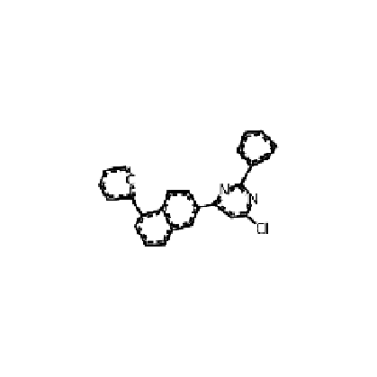 Clc1cc(-c2ccc3c(-c4ccccc4)cccc3c2)nc(-c2ccccc2)n1